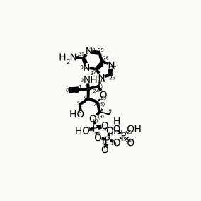 C#CC1(N)C(CO)[C@@H]([C@@H](C)OP(=O)(O)OP(=O)(O)OP(=O)(O)O)O[C@H]1n1cnc2cnc(N)nc21